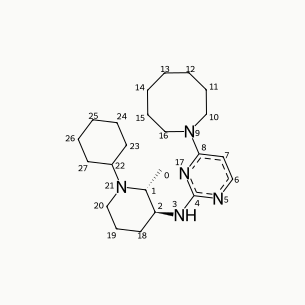 C[C@@H]1[C@@H](Nc2nccc(N3CCCCCCC3)n2)CCCN1C1CCCCC1